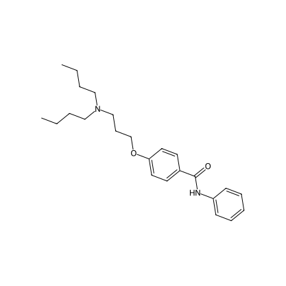 CCCCN(CCCC)CCCOc1ccc(C(=O)Nc2ccccc2)cc1